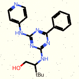 CC(C)(C)C(CO)Nc1nc(Nc2ccncc2)nc(-c2ccccc2)n1